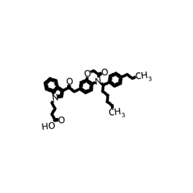 CCCCCC(c1ccc(CCC)cc1)N1C(=O)COc2cc(CC(=O)c3cn(CCCC(=O)O)c4ccccc34)ccc21